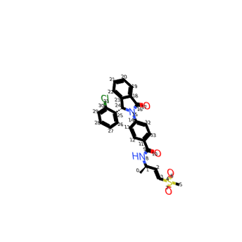 C[C@H](/C=C/S(C)(=O)=O)NC(=O)c1ccc(N2C(=O)c3ccccc3[C@H]2c2ccccc2Cl)cc1